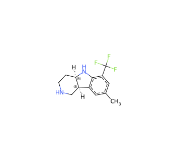 Cc1cc2c(c(C(F)(F)F)c1)N[C@@H]1CCNC[C@H]21